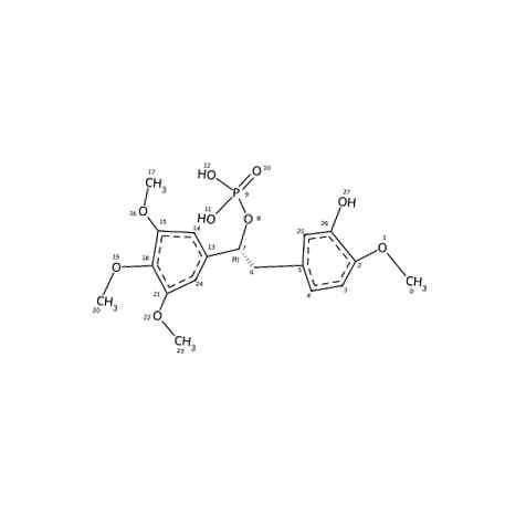 COc1ccc(C[C@@H](OP(=O)(O)O)c2cc(OC)c(OC)c(OC)c2)cc1O